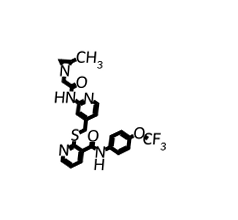 CC1CN1CC(=O)Nc1cc(CSc2ncccc2C(=O)Nc2ccc(OC(F)(F)F)cc2)ccn1